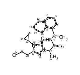 CC(C(=O)N[C@@H](C)c1cccc2ccccc12)n1nc(CCCl)n(C2CC2)c1=O